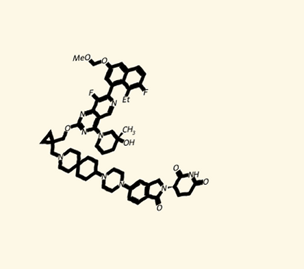 CCc1c(F)ccc2cc(OCOC)cc(-c3ncc4c(N5CCC[C@@](C)(O)C5)nc(OCC5(CN6CCC7(CCC(N8CCN(c9ccc%10c(c9)CN([C@H]9CCC(=O)NC9=O)C%10=O)CC8)CC7)CC6)CC5)nc4c3F)c12